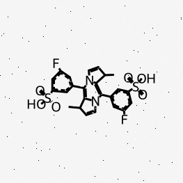 CC1C=CN2C(c3cc(F)cc(S(=O)(=O)O)c3)=C3C(C)C=CN3C(c3cc(F)cc(S(=O)(=O)O)c3)=C12